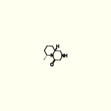 C[C@@H]1CCC[C@@H]2CNCC(=O)N21